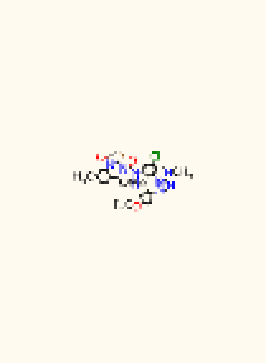 COCc1ccc(C)cc1N1C(=O)CSC1=NC(=O)Nc1ccc(CN(C)c2ncn(-c3ccc(OC(F)(F)F)cc3)n2)c(Cl)c1